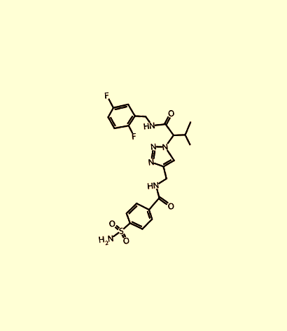 CC(C)C(C(=O)NCc1cc(F)ccc1F)n1cc(CNC(=O)c2ccc(S(N)(=O)=O)cc2)nn1